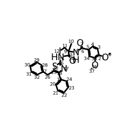 COc1ccc(C(=O)NC(C)(CI)C(=O)Nc2nc(-c3ccccc3)c(Cc3ccccc3)s2)cc1OC